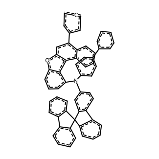 c1ccc(-c2ccc(N(c3ccc4c(c3)C3(c5ccccc5-c5ccccc53)c3ccccc3-4)c3cccc4oc5cc(-c6ccccc6)c6ccccc6c5c34)cc2)cc1